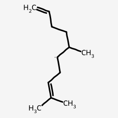 C=CCCC(C)[CH]CC=C(C)C